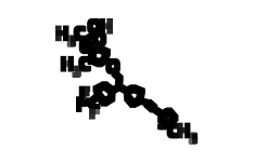 Cc1ccc(C#Cc2ccc(C(=CCOc3ccc(OC(C)C(=O)O)c(C)c3)c3ccc(C(F)(F)F)cc3)cc2)s1